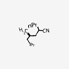 C=C(CC(C)C)CC(C#N)CCC